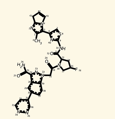 Cc1nc2n(c1-c1csc(NC(=O)C3CC(F)CN3C(=O)Cn3nc(C(N)=O)c4cc(-c5ccnnc5)ccc43)n1)C=CC2